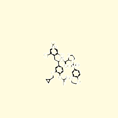 O=C(OC(Cc1c(Cl)c[n+]([O-])cc1Cl)c1ccc(OC(F)F)c(OCC2CC2)c1)C1SCCN1S(=O)(=O)c1ccc2c(c1)OCCO2